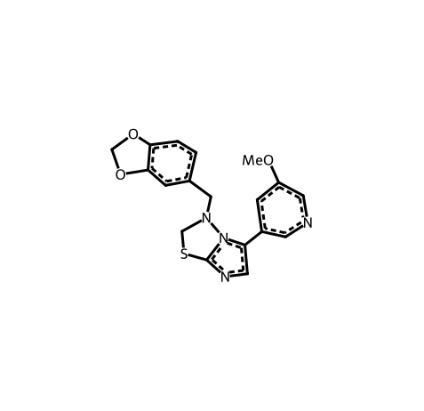 COc1cncc(-c2cnc3n2N(Cc2ccc4c(c2)OCO4)CS3)c1